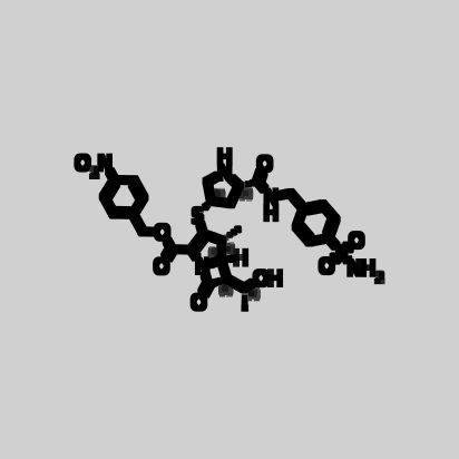 C[C@@H](O)[C@H]1C(=O)N2C(C(=O)OCc3ccc([N+](=O)[O-])cc3)=C(S[C@@H]3CN[C@H](C(=O)NCc4ccc(S(N)(=O)=O)cc4)C3)[C@H](C)[C@H]12